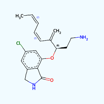 C=C(/C=C\C=C/C)[C@@H](CCN)Oc1cc(Cl)cc2c1C(=O)NC2